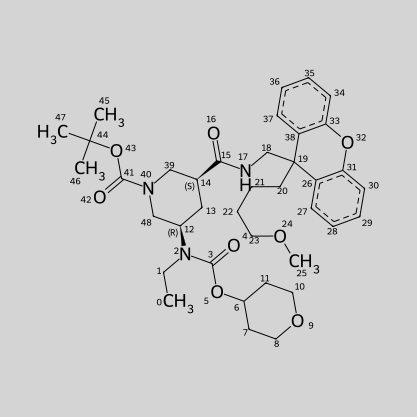 CCN(C(=O)OC1CCOCC1)[C@@H]1C[C@H](C(=O)NCC2(CCCCOC)c3ccccc3Oc3ccccc32)CN(C(=O)OC(C)(C)C)C1